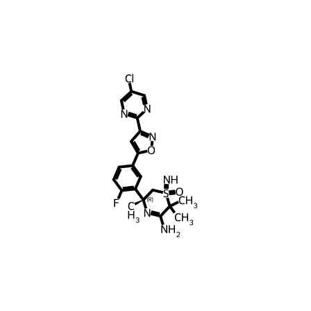 CC1(C)C(N)=N[C@](C)(c2cc(-c3cc(-c4ncc(Cl)cn4)no3)ccc2F)CS1(=N)=O